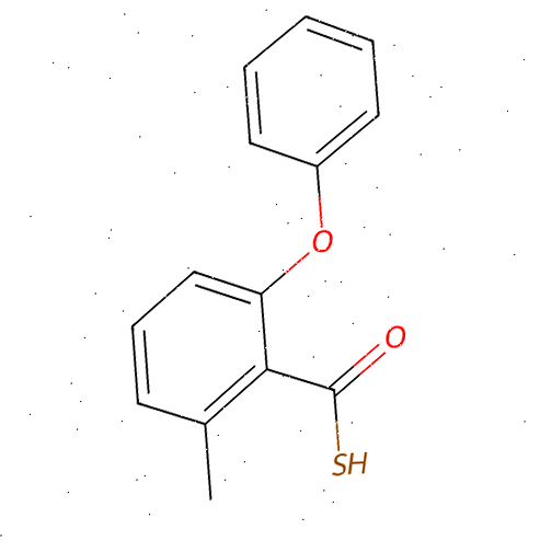 Cc1cccc(Oc2ccccc2)c1C(=O)S